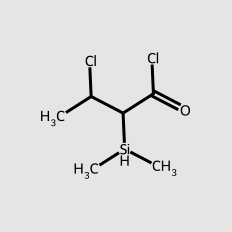 CC(Cl)C(C(=O)Cl)[SiH](C)C